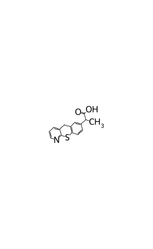 CC(C(=O)O)c1ccc2c(c1)Cc1cccnc1S2